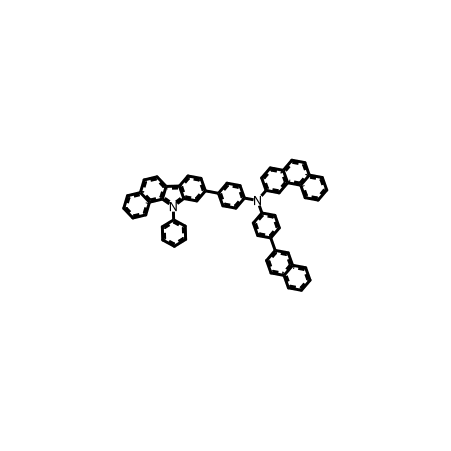 c1ccc(-n2c3cc(-c4ccc(N(c5ccc(-c6ccc7ccccc7c6)cc5)c5ccc6ccc7ccccc7c6c5)cc4)ccc3c3ccc4ccccc4c32)cc1